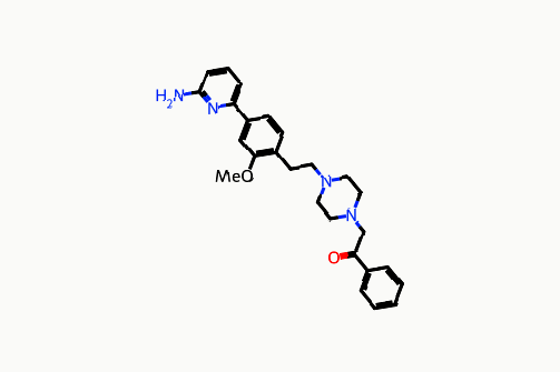 COc1cc(-c2cccc(N)n2)ccc1CCN1CCN(CC(=O)c2ccccc2)CC1